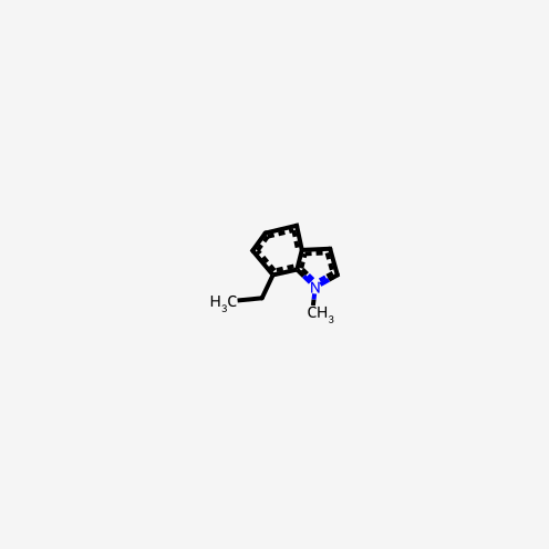 CCc1cccc2ccn(C)c12